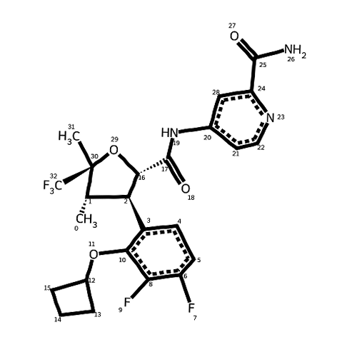 C[C@H]1[C@H](c2ccc(F)c(F)c2OC2CCC2)[C@@H](C(=O)Nc2ccnc(C(N)=O)c2)O[C@]1(C)C(F)(F)F